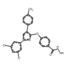 CCCNC(=O)c1ccc(Oc2nn(-c3cc(Cl)cc(Cl)c3)cc2-c2ccc(C)cc2)cc1